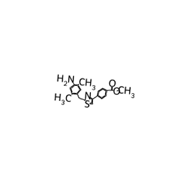 COC(=O)c1ccc(-c2csc(Cc3cc(C)c(N)cc3C)n2)cc1